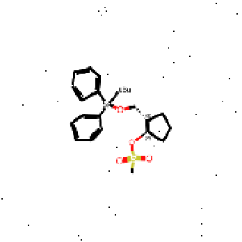 CC(C)(C)[Si](OC[C@@H]1CCC[C@H]1OS(C)(=O)=O)(c1ccccc1)c1ccccc1